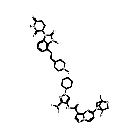 Cn1c(=O)n(C2CCC(=O)NC2=O)c2cccc(CCC3CCN(C[C@H]4CC[C@H](n5cc(NC(=O)c6cnn7ccc(N8C[C@H]9C[C@@H]8CO9)nc67)c(C(F)F)n5)CC4)CC3)c21